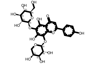 O=c1cc(-c2ccc(O)cc2)oc2c(O[C@@H]3OC[C@H](O)[C@H](O)[C@H]3O)c(O)c(O[C@@H]3O[C@H](CO)[C@@H](O)[C@H](O)[C@H]3O)c(O)c12